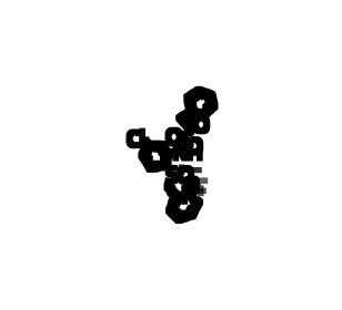 O=S(=O)(Nc1cc(Cl)ccc1[S+]([O-])Cc1cccc[n+]1[O-])c1cc2ccccc2o1